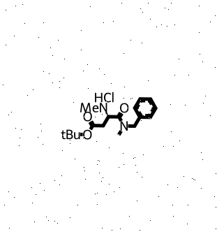 CN[C@@H](CC(=O)OC(C)(C)C)C(=O)N(C)Cc1ccccc1.Cl